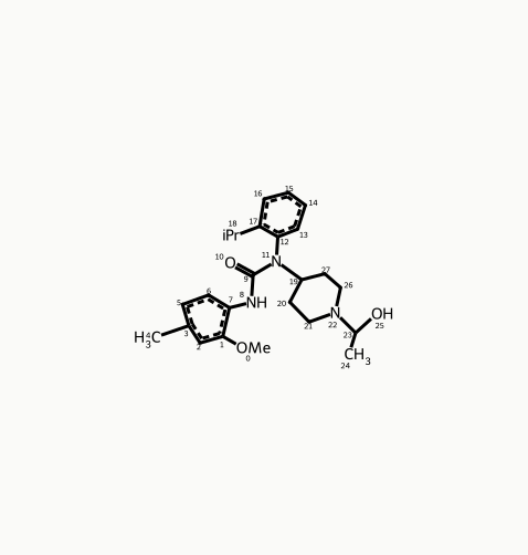 COc1cc(C)ccc1NC(=O)N(c1ccccc1C(C)C)C1CCN(C(C)O)CC1